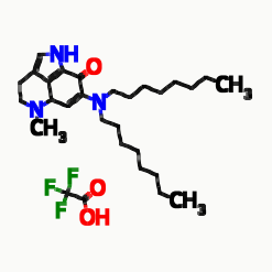 CCCCCCCCN(CCCCCCCC)C1=CC2c3c(c[nH]c3C1=O)CCN2C.O=C(O)C(F)(F)F